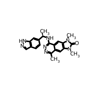 Cc1nnc(N[C@H](C)c2ccc3cn[nH]c3c2)c2cc3c(cc12)n(C)c(=O)n3C